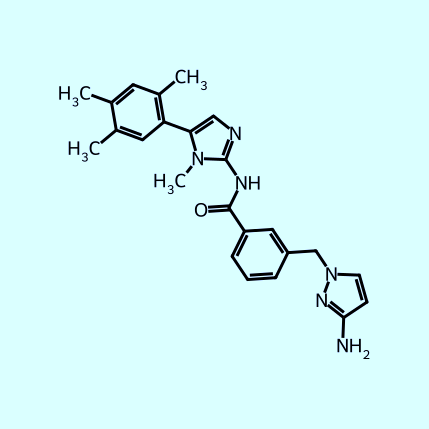 Cc1cc(C)c(-c2cnc(NC(=O)c3cccc(Cn4ccc(N)n4)c3)n2C)cc1C